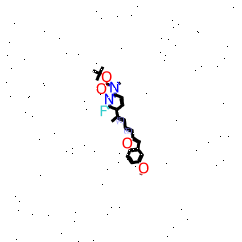 COc1ccc2oc(/C=C/C=C(\C)C3C=CC(N(C)C(=O)OC(C)(C)C)=NC3F)cc2c1